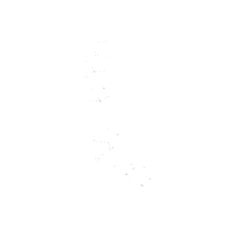 C=CC(=O)Oc1ccc(SC(=O)c2ccc(OC(=O)C(=C)CC(=O)OC3CCCCC3)cc2)cc1